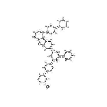 N#Cc1cccc(-c2ccc(-c3nc(-c4ccccc4)nc(-c4ccc5c(c4)oc4nccc(-c6ccc(-c7ccccc7)cc6)c45)n3)cc2)c1